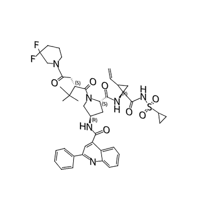 C=CC1C[C@]1(NC(=O)[C@@H]1C[C@@H](NC(=O)c2cc(-c3ccccc3)nc3ccccc23)CN1C(=O)[C@@H](CC(=O)N1CCCC(F)(F)C1)C(C)(C)C)C(=O)NS(=O)(=O)C1CC1